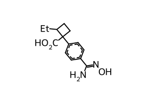 CCC1CCC1(C(=O)O)c1ccc(C(N)=NO)cc1